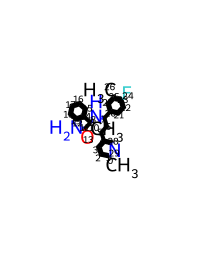 Cc1ccc(CCC(NC(C)(C(N)=O)c2ccccc2)c2ccc(F)c(C)c2)cn1